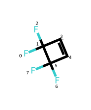 FC1(F)[C]=CC1(F)F